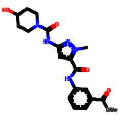 COC(=O)c1cccc(NC(=O)c2cc(NC(=O)N3CCC(O)CC3)nn2C)c1